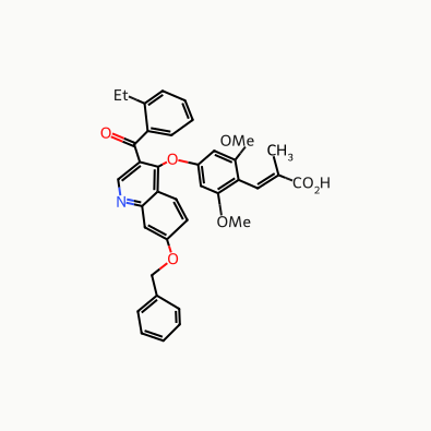 CCc1ccccc1C(=O)c1cnc2cc(OCc3ccccc3)ccc2c1Oc1cc(OC)c(/C=C(\C)C(=O)O)c(OC)c1